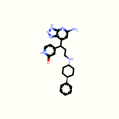 Nc1cc(C(CCN[C@H]2CC[C@H](c3ccccc3)CC2)c2cc[nH]c(=O)c2)c2nn[nH]c2n1